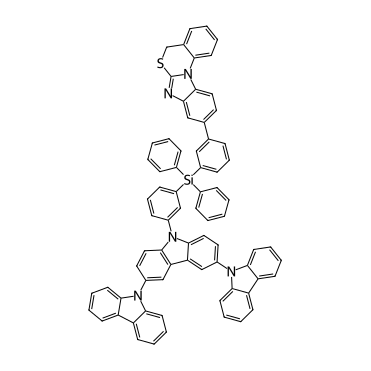 c1ccc([Si](c2ccccc2)(c2cccc(-c3ccc4c(c3)nc3n4-c4ccccc4CS3)c2)c2cccc(-n3c4ccc(-n5c6ccccc6c6ccccc65)cc4c4cc(-n5c6ccccc6c6ccccc65)ccc43)c2)cc1